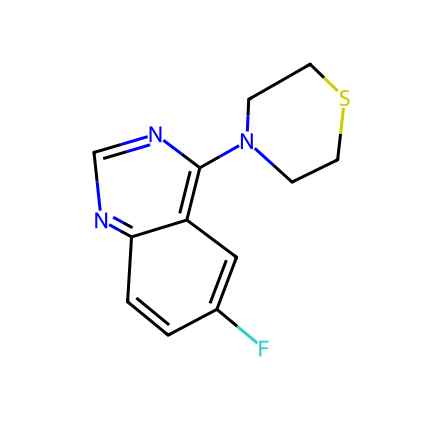 Fc1ccc2ncnc(N3CCSCC3)c2c1